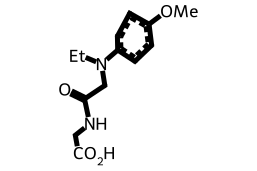 CCN(CC(=O)NCC(=O)O)c1ccc(OC)cc1